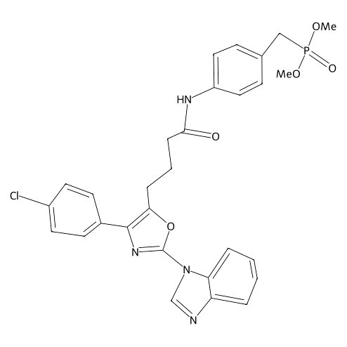 COP(=O)(Cc1ccc(NC(=O)CCCc2oc(-n3cnc4ccccc43)nc2-c2ccc(Cl)cc2)cc1)OC